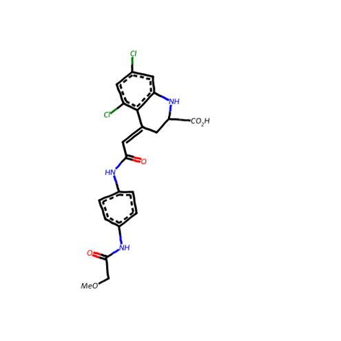 COCC(=O)Nc1ccc(NC(=O)/C=C2\CC(C(=O)O)Nc3cc(Cl)cc(Cl)c32)cc1